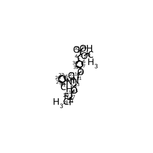 CCOC(Cc1ccc(OCCN(CCOCCC(C)(F)F)C(=O)Nc2ccccc2Cl)cc1)C(=O)O